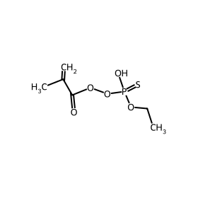 C=C(C)C(=O)OOP(O)(=S)OCC